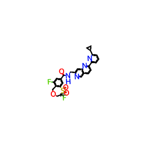 O=C(NCc1cc2nc(-c3cccc(C4CC4)n3)ccc2cn1)c1cc(F)c2c(c1)S(=O)(=O)[C@@H](F)COC2